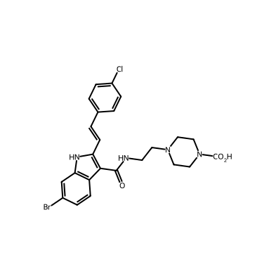 O=C(NCCN1CCN(C(=O)O)CC1)c1c(C=Cc2ccc(Cl)cc2)[nH]c2cc(Br)ccc12